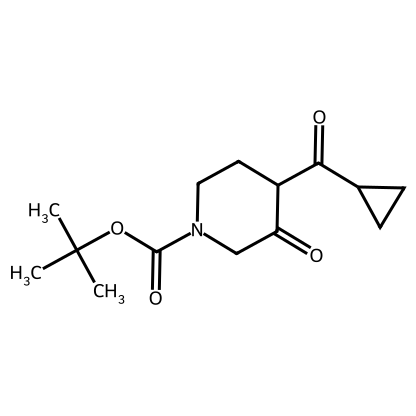 CC(C)(C)OC(=O)N1CCC(C(=O)C2CC2)C(=O)C1